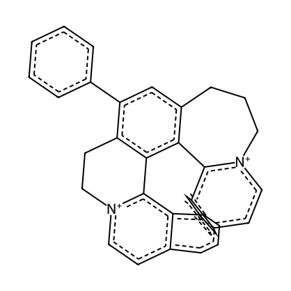 c1ccc(-c2cc3c(c4c2CC[n+]2ccc5ccccc5c2-4)-c2c4ccccc4cc[n+]2CCC3)cc1